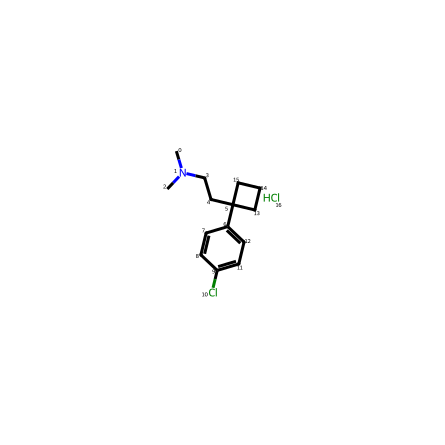 CN(C)CCC1(c2ccc(Cl)cc2)CCC1.Cl